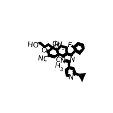 C[C@]1(CCCO)C(=O)C(C#N)=C[C@@]2(C)c3nc(-c4ccnc(C5CC5)c4)nc(-c4ccccc4F)c3CC[C@H]12